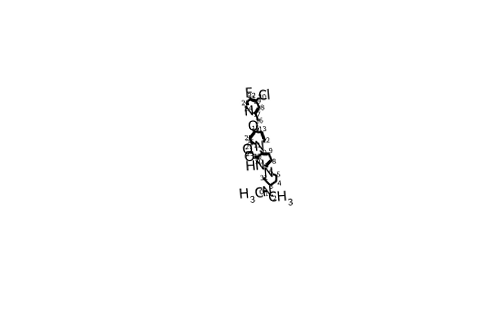 CN(C)C1CCN(c2ccc(-n3ccc(OCc4cc(Cl)c(F)cn4)cc3=O)c(=O)[nH]2)C1